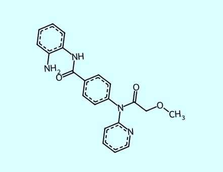 COCC(=O)N(c1ccc(C(=O)Nc2ccccc2N)cc1)c1ccccn1